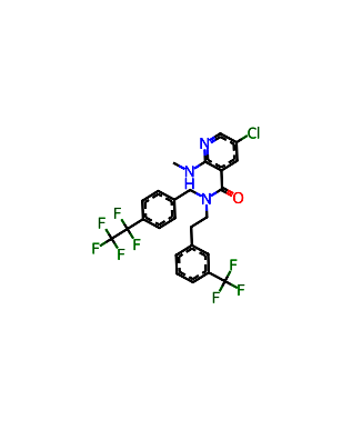 CNc1ncc(Cl)cc1C(=O)N(CCc1cccc(C(F)(F)F)c1)Cc1ccc(C(F)(F)C(F)(F)F)cc1